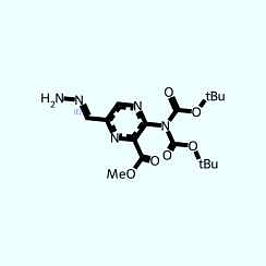 COC(=O)c1nc(/C=N/N)cnc1N(C(=O)OC(C)(C)C)C(=O)OC(C)(C)C